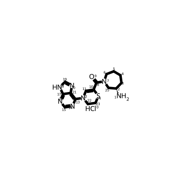 Cl.N[C@H]1CCCCN(C(=O)C2=CN(c3ncnc4[nH]cnc34)CCS2)C1